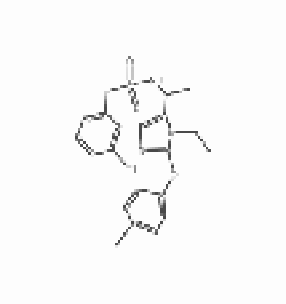 CCn1c(C(C)NS(=O)(=O)Cc2cccc(Cl)c2)cnc1Oc1ccc(C)cc1